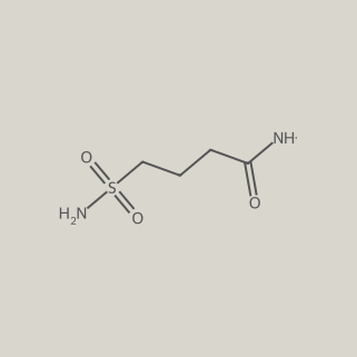 [NH]C(=O)CCCS(N)(=O)=O